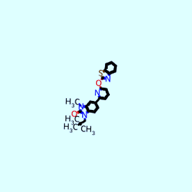 Cn1c(=O)n(CC(C)(C)C)c2ccc(-c3cccc(Oc4nc5ccccc5s4)n3)cc21